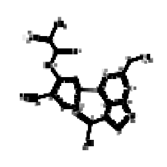 C=C(C)C(=O)Nc1cc(-c2nc(CC)nc3[nH]cc(C(=O)O)c23)ccc1C#N